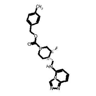 Cc1ccc(COC(=O)N2CC[C@@H](CNc3cccc4nncn34)[C@@H](F)C2)cc1